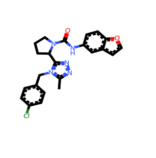 Cc1nnc(C2CCCN2C(=O)Nc2ccc3occc3c2)n1Cc1ccc(Cl)cc1